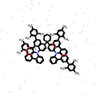 Cc1cc(C)c(C2=CC3C4=C(C2)C(C2(c5ccc(N(c6ccccc6-c6cccc(-c7c(C)cc(C)cc7C)c6)c6ccccc6-c6cccc(-c7c(C)cc(C)cc7C)c6)cc5)CCCCC2)C=CC4N(c2ccccc2-c2cccc(-c4c(C)cc(C)cc4C)c2)c2ccccc23)c(C)c1